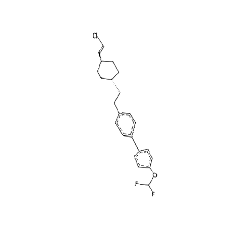 FC(F)Oc1ccc(-c2ccc(CC[C@H]3CC[C@H](/C=C/Cl)CC3)cc2)cc1